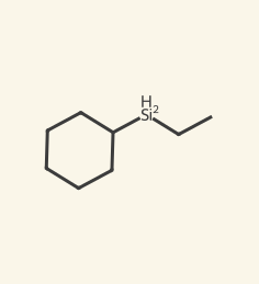 CC[SiH2]C1CCCCC1